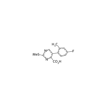 CSc1ncc(-c2ccc(F)cc2C)c(C(=O)O)n1